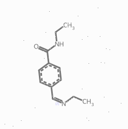 CC/N=C\c1ccc(C(=O)NCC)cc1